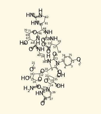 COc1ccc(N2C(=O)C(C(OC3O[C@H](CN)[C@H](O)[C@@H]3OC)[C@H]3O[C@@H](n4ccc(=O)[nH]c4=O)[C@H](O)[C@H]3O)N(CCCNC(=O)C(NC(=O)C(NC(=O)NC(C(=O)O)C(C)C)C3CCNC(=N)N3)C(O)C(C)C)C2=O)cc1